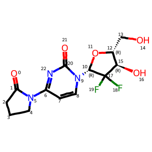 O=C1CCCN1c1ccn([C@@H]2O[C@H](CO)[C@@H](O)C2(F)F)c(=O)n1